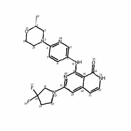 C[C@@H]1CN(c2ccc(Nc3nc(N4CCC(F)(F)C4)cc4cc[nH]c(=O)c34)cn2)CCO1